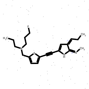 CC/C=C1/C=C(C#Cc2ccc(CN(CCC)CCCF)s2)N/C1=N/C